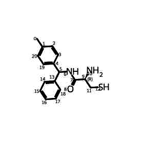 Cc1ccc(C(NC(=O)[C@@H](N)CS)c2ccccc2)cc1